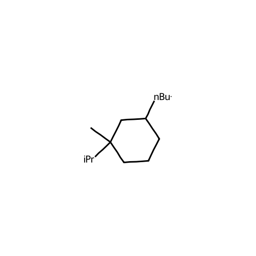 [CH2]CC[CH]C1CCCC(C)(C(C)C)C1